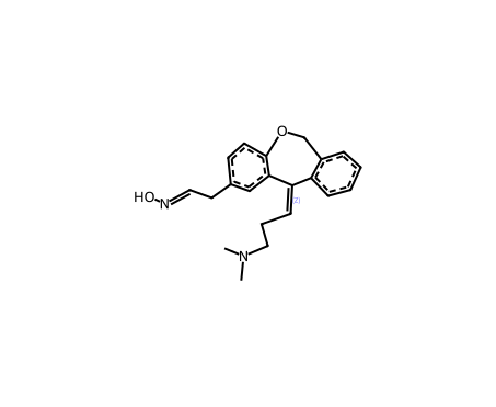 CN(C)CC/C=C1/c2ccccc2COc2ccc(CC=NO)cc21